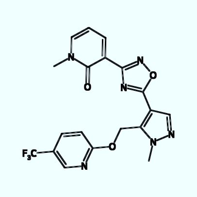 Cn1ncc(-c2nc(-c3cccn(C)c3=O)no2)c1COc1ccc(C(F)(F)F)cn1